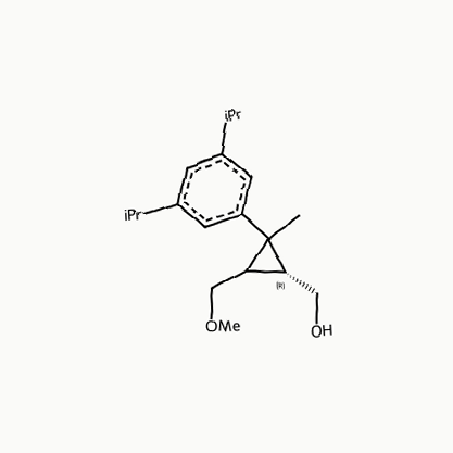 COCC1[C@@H](CO)C1(C)c1cc(C(C)C)cc(C(C)C)c1